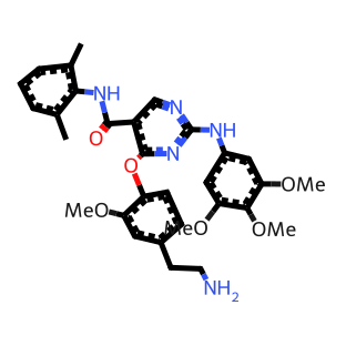 COc1cc(CCN)ccc1Oc1nc(Nc2cc(OC)c(OC)c(OC)c2)ncc1C(=O)Nc1c(C)cccc1C